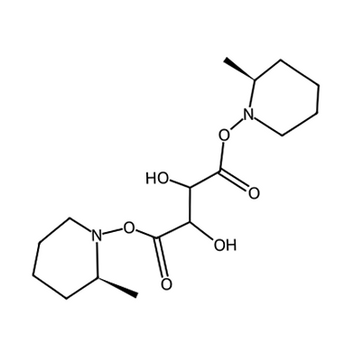 C[C@H]1CCCCN1OC(=O)C(O)C(O)C(=O)ON1CCCC[C@@H]1C